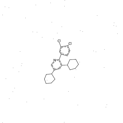 Clc1ccc(-c2ncc(C3CCCCC3)[c]c2C2CCCCC2)cc1Cl